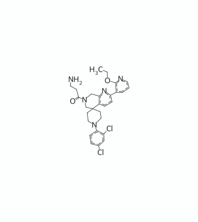 CCOc1ncccc1-c1ccc2c(n1)CN(C(=O)CCN)CC21CCN(c2ccc(Cl)cc2Cl)CC1